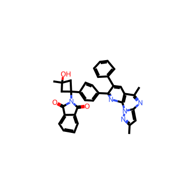 Cc1cc2nc(C)c3cc(-c4ccccc4)c(-c4ccc(C5(N6C(=O)c7ccccc7C6=O)CC(C)(O)C5)cc4)nc3n2n1